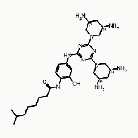 CC(C)CCCCCC(=O)Nc1ccc(Nc2nc(N3C[C@H](N)C[C@H](N)C3)nc(N3C[C@H](N)C[C@H](N)C3)n2)cc1O